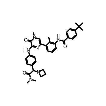 Cc1c(NC(=O)c2ccc(C(C)(C)C)cc2)cccc1-c1cn(C)c(=O)c(Nc2ccc(C(C(=O)N(C)C)N3CCC3)cc2)n1